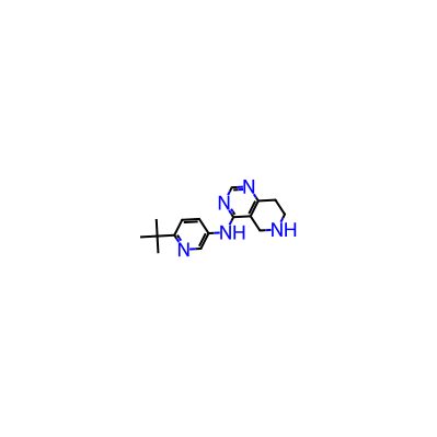 CC(C)(C)c1ccc(Nc2ncnc3c2CNCC3)cn1